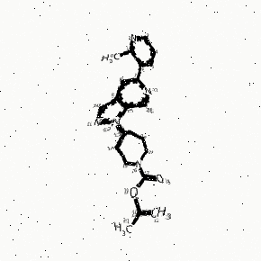 Cc1ncccc1-c1cc2cnn(C3CCN(C(=O)OC(C)C)CC3)c2cn1